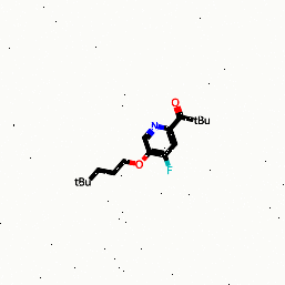 CC(C)(C)CCCOc1cnc(C(=O)C(C)(C)C)cc1F